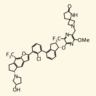 COc1nc(O[C@H]2CCc3c(-c4cccc(-c5cc6cc7c(c(C(F)(F)F)c6o5)CC[C@H]7N5CC[C@@H](O)C5)c4Cl)cccc32)c(C(F)(F)F)nc1CN1CC2(CCC(=O)N2)C1